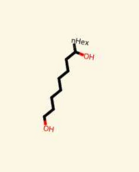 CCCCCCC(O)CCCCCCCO